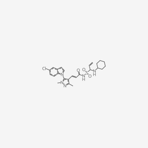 C=CC(NC1CCCCC1)S(=O)(=O)NC(=O)/C=C/c1c(C)nn(C)c1-n1ccc2cc(Cl)ccc21